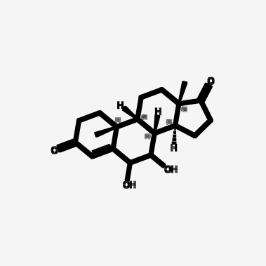 C[C@]12CCC(=O)C=C1C(O)C(O)[C@@H]1[C@H]2CC[C@]2(C)C(=O)CC[C@@H]12